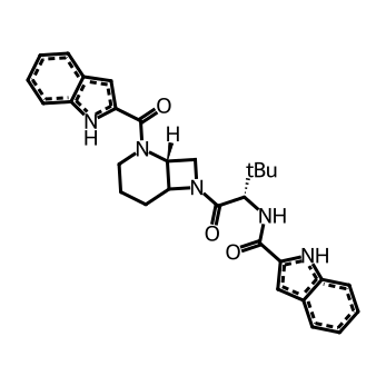 CC(C)(C)[C@H](NC(=O)c1cc2ccccc2[nH]1)C(=O)N1C[C@@H]2C1CCCN2C(=O)c1cc2ccccc2[nH]1